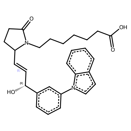 O=C(O)CCCCCCN1C(=O)CCC1/C=C/[C@@H](O)c1cccc(-n2ccc3ccccc32)c1